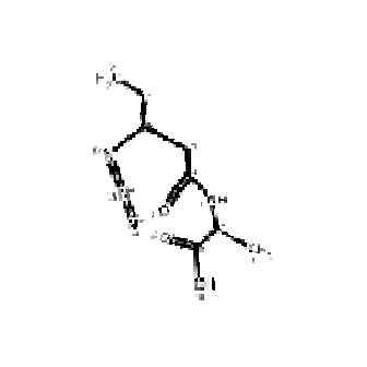 CCC(CC(=O)N[C@@H](C)C(=O)O)N=[N+]=[N-]